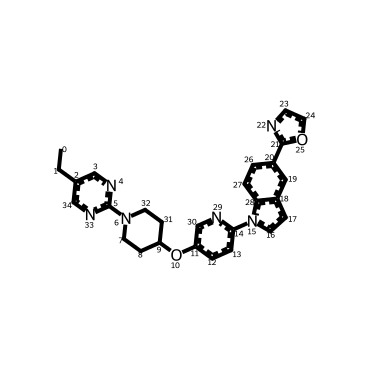 CCc1cnc(N2CCC(Oc3ccc(-n4ccc5cc(-c6ncco6)ccc54)nc3)CC2)nc1